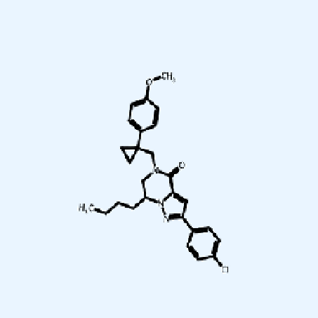 CCCCC1CN(CC2(c3ccc(OC)cc3)CC2)C(=O)c2cc(-c3ccc(Cl)cc3)nn21